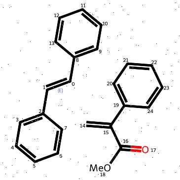 C(=C\c1ccccc1)/c1ccccc1.C=C(C(=O)OC)c1ccccc1